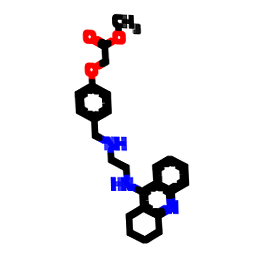 COC(=O)COc1ccc(CNCCNc2c3c(nc4ccccc24)CCCC3)cc1